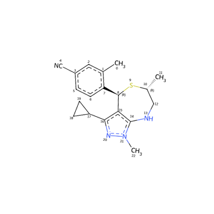 Cc1cc(C#N)ccc1[C@H]1S[C@H](C)CNc2c1c(C1CC1)nn2C